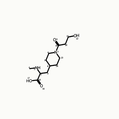 CNC(CC1CCN(C(=O)CCO)CC1)C(=O)O